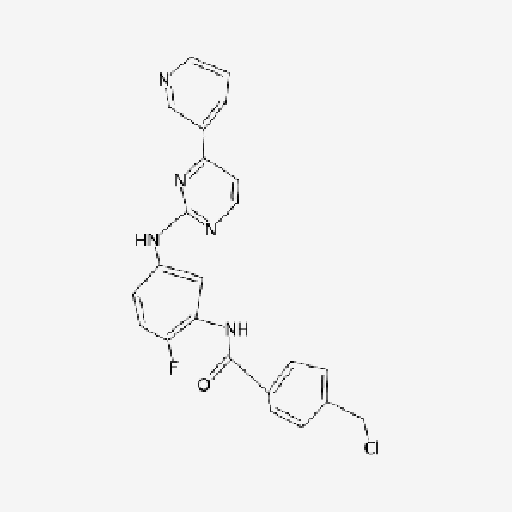 O=C(Nc1cc(Nc2nccc(-c3cccnc3)n2)ccc1F)c1ccc(CCl)cc1